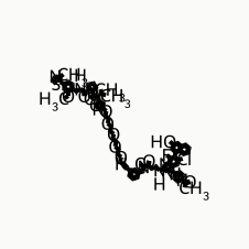 COc1cc(-c2scnc2C)ccc1CNC(=O)[C@@H]1CCCN1C(=O)[C@H](c1cc(OCCOCCOCCOCCOCC#Cc2cccc(CN(C)C(=O)CCNc3nc(N4CCN(C(C)=O)CC4)c4cc(Cl)c(-c5cc(O)cc6ccccc56)c(F)c4n3)c2)no1)C(C)C